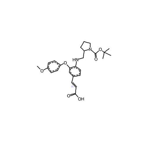 COc1ccc(Oc2cc(/C=C/C(=O)O)ccc2NCC2CCCN2C(=O)OC(C)(C)C)cc1